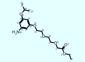 CCOC(=O)COCCOCCOc1cc(N)cc(OC(F)F)c1